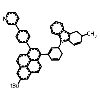 CC1C=Cc2c(c3ccccc3n2C2C=C(c3cc(-c4ccc(-c5cccnc5)cc4)c4ccc5cc(C(C)(C)C)cc6ccc3c4c65)C=CC2)C1